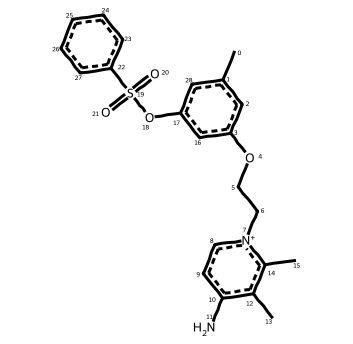 Cc1cc(OCC[n+]2ccc(N)c(C)c2C)cc(OS(=O)(=O)c2ccccc2)c1